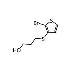 OCCCSc1ccsc1Br